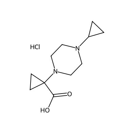 Cl.O=C(O)C1(N2CCN(C3CC3)CC2)CC1